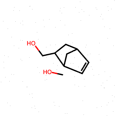 CO.OCC1CC2C=CC1C2